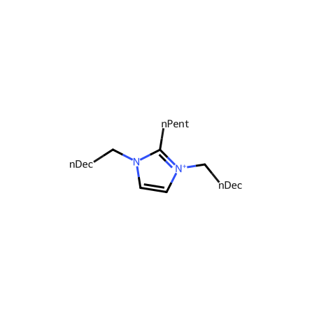 CCCCCCCCCCCn1cc[n+](CCCCCCCCCCC)c1CCCCC